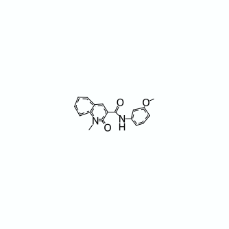 COc1cccc(NC(=O)c2cc3ccccc3n(C)c2=O)c1